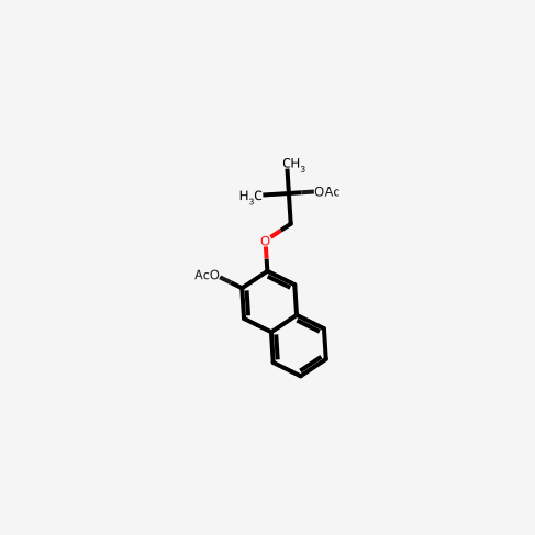 CC(=O)Oc1cc2ccccc2cc1OCC(C)(C)OC(C)=O